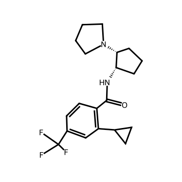 O=C(N[C@H]1CCC[C@H]1N1CCCC1)c1ccc(C(F)(F)F)cc1C1CC1